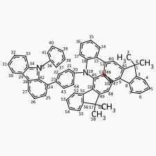 CC1(C)c2ccccc2-c2ccc(-c3ccccc3N(c3ccc(-c4cccc5c6ccccc6n(-c6ccccc6)c45)cc3)c3cccc4c3-c3ccccc3C4(C)C)cc21